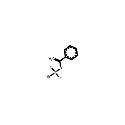 C=C(O[Si](CC)(CC)CC)c1ccccc1